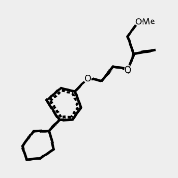 COCC(C)OCCOc1ccc(C2CCCCC2)cc1